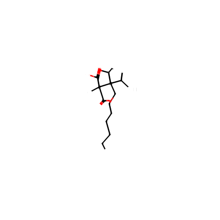 CCCCCCCC(C(C)C)(C(C)C)C(C)(C(=O)O)C(=O)O